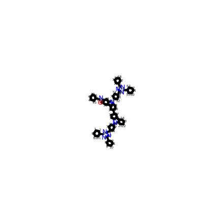 c1ccc(-c2nc(-c3ccccc3)nc(-c3ccc(-n4c5ccccc5c5cc(-c6ccc7c(c6)c6cc8oc(-c9ccccc9)nc8cc6n7-c6ccc(-c7nc(-c8ccccc8)nc(-c8ccccc8)n7)cc6)ccc54)cc3)n2)cc1